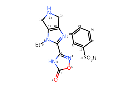 CCn1c(-c2noc(=O)[nH]2)nc2c1CNC2.O=S(=O)(O)c1ccccc1